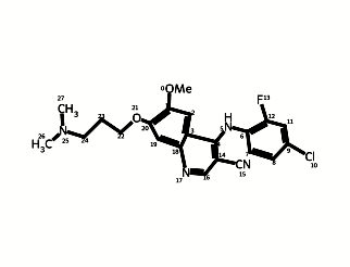 COc1cc2c(Nc3ccc(Cl)cc3F)c(C#N)cnc2cc1OCCCN(C)C